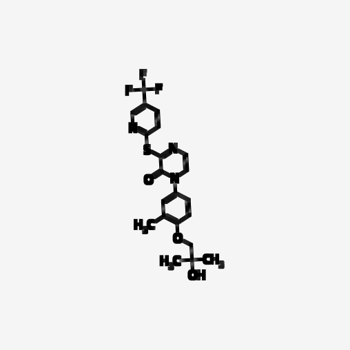 Cc1cc(-n2ccnc(Sc3ccc(C(F)(F)F)cn3)c2=O)ccc1OCC(C)(C)O